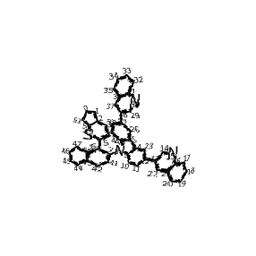 c1cc2ccc(-c3c(-n4c5ccc(-c6cnc7ccccc7c6)cc5c5cc(-c6cnc7ccccc7c6)ccc54)ccc4ccccc34)sc-2c1